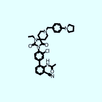 CCN1C(=O)N(c2ccc(-c3cccc(C#N)c3NC(C)=O)cc2Cl)C(=O)C12CCN(Cc1ccc(N3CCCC3)cc1)CC2